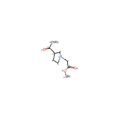 COC(=O)C1CCN(CC(=O)OC(C)(C)C)C1